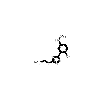 CONc1ccc(O)c(-c2nnc(SCC(=O)O)[nH]2)c1